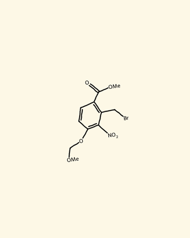 COCOc1ccc(C(=O)OC)c(CBr)c1[N+](=O)[O-]